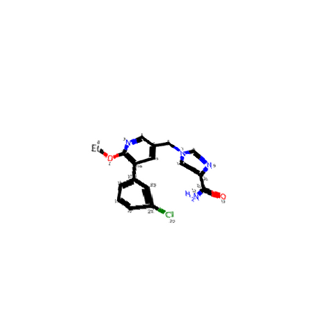 CCOc1ncc(Cn2cnc(C(N)=O)c2)cc1-c1cccc(Cl)c1